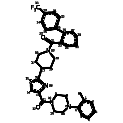 Cc1ccccc1N1CCN(C(=O)c2csc(C3CCN(C(=O)c4ccccc4-c4ccc(C(F)(F)F)cc4)CC3)n2)CC1